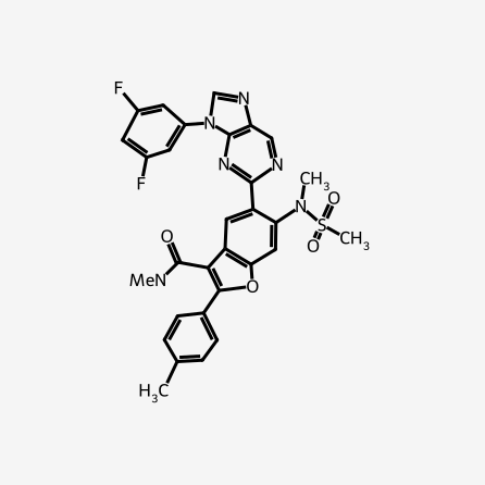 CNC(=O)c1c(-c2ccc(C)cc2)oc2cc(N(C)S(C)(=O)=O)c(-c3ncc4ncn(-c5cc(F)cc(F)c5)c4n3)cc12